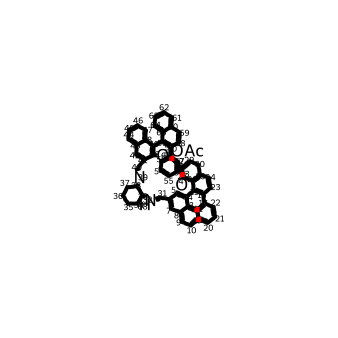 CC(=O)OC1CCOc2c(cc3ccccc3c2-c2c(-c3ccccc3)ccc3c2CC=CC3)/C=N/[C@H]2CCCCC2/N=C/c2cc3ccccc3c(-c3c(-c4ccccc4)ccc4ccccc34)c2O1